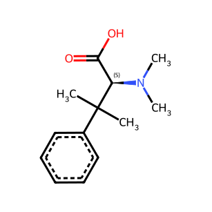 CN(C)[C@H](C(=O)O)C(C)(C)c1ccccc1